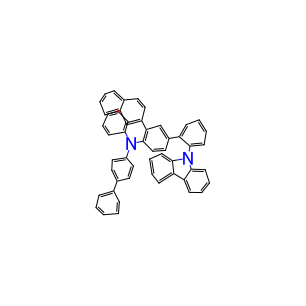 c1ccc(-c2ccc(N(c3ccccc3)c3ccc(-c4ccccc4-n4c5ccccc5c5ccccc54)cc3-c3ccc4ccccc4c3)cc2)cc1